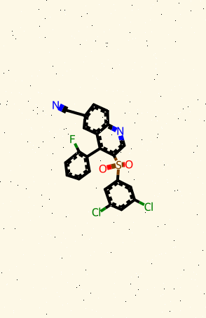 N#Cc1ccc2ncc(S(=O)(=O)c3cc(Cl)cc(Cl)c3)c(-c3ccccc3F)c2c1